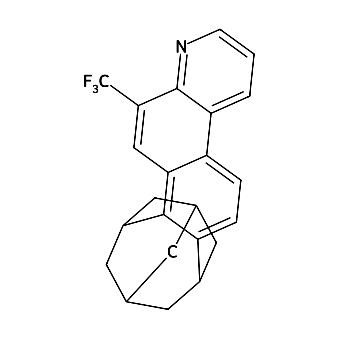 FC(F)(F)c1cc2c3c(ccc2c2cccnc12)C1CC2CC(C1)CC3C2